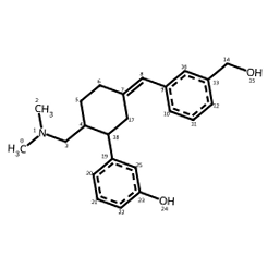 CN(C)CC1CC/C(=C/c2cccc(CO)c2)CC1c1cccc(O)c1